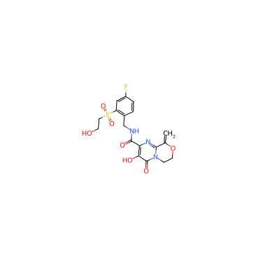 C=C1OCCn2c1nc(C(=O)NCc1ccc(F)cc1S(=O)(=O)CCO)c(O)c2=O